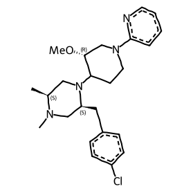 CO[C@@H]1CN(c2ccccn2)CCC1N1C[C@H](C)N(C)C[C@@H]1Cc1ccc(Cl)cc1